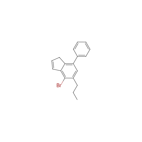 CCCc1cc(-c2ccccc2)c2c(c1Br)C=CC2